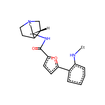 CCNc1ccccc1-c1ccc(C(=O)N[C@H]2CN3CCC2CC3)o1